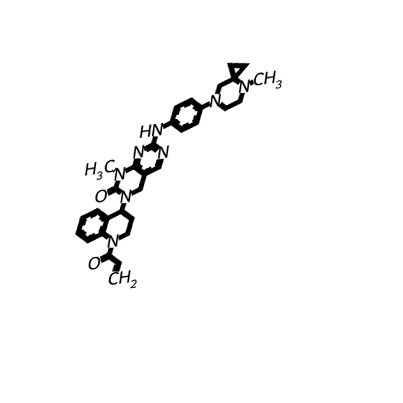 C=CC(=O)N1CCC(N2Cc3cnc(Nc4ccc(N5CCN(C)C6(CC6)C5)cc4)nc3N(C)C2=O)c2ccccc21